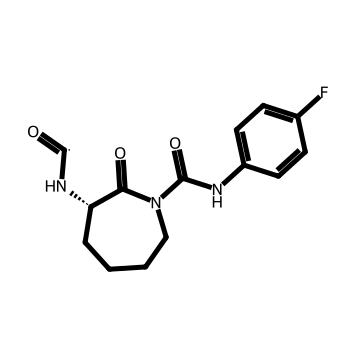 O=[C]N[C@H]1CCCCN(C(=O)Nc2ccc(F)cc2)C1=O